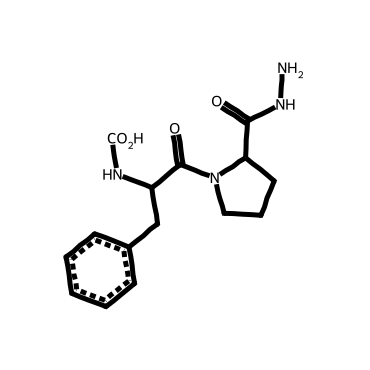 NNC(=O)C1CCCN1C(=O)C(Cc1ccccc1)NC(=O)O